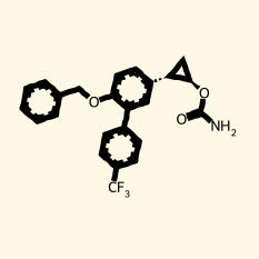 NC(=O)O[C@@H]1C[C@H]1c1ccc(OCc2ccccc2)c(-c2ccc(C(F)(F)F)cc2)c1